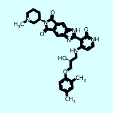 Cc1ccc(OC[C@H](O)CNc2cc[nH]c(=O)c2-c2nc3cc4c(cc3[nH]2)C(=O)N([C@@H]2CCCN(C)C2)C4=O)c(C)c1